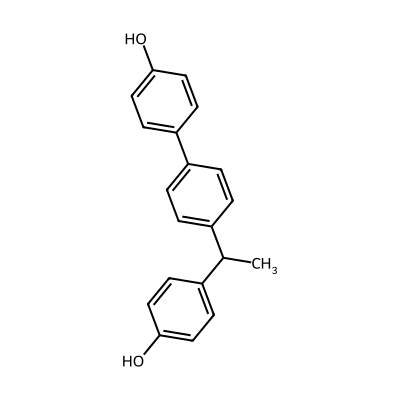 CC(c1ccc(O)cc1)c1ccc(-c2ccc(O)cc2)cc1